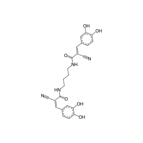 N#CC(=Cc1ccc(O)c(O)c1)C(=O)NCCCCNC(=O)C(C#N)=Cc1ccc(O)c(O)c1